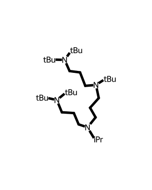 CC(C)N(CCCN(CCCN(C(C)(C)C)C(C)(C)C)C(C)(C)C)CCCN(C(C)(C)C)C(C)(C)C